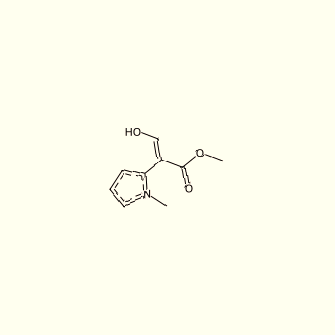 COC(=O)/C(=C/O)c1cccn1C